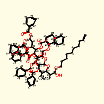 C=CCCCCCCCCOC(O)C(OC(C)=O)C(OC1OC(COC(=O)c2ccccc2)C(OC(=O)c2ccccc2)C(OC(=O)c2ccccc2)C1OC(=O)c1ccccc1)C(CCOC(O)C(OC(=O)c1ccccc1)C(OC(=O)c1ccccc1)C(CCOC(=O)c1ccccc1)OC(=O)c1ccccc1)OC(C)=O